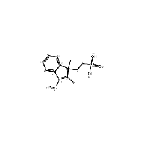 CCCCC[N+]1=C(C)C(C)(CCP(=O)(O)O)c2ccccc21